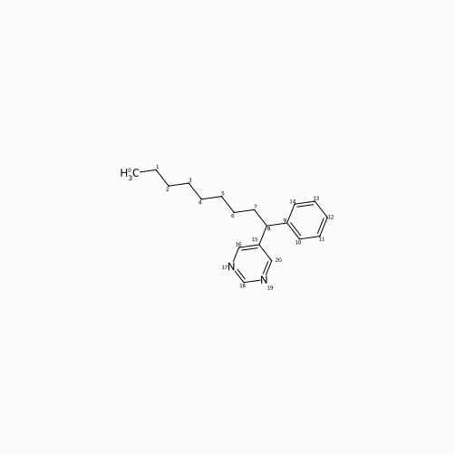 CCCCCCCCC(c1ccccc1)c1cncnc1